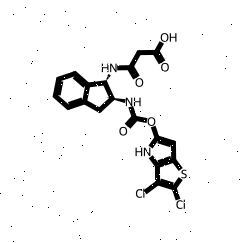 O=C(O)CC(=O)N[C@H]1c2ccccc2C[C@@H]1NC(=O)Oc1cc2sc(Cl)c(Cl)c2[nH]1